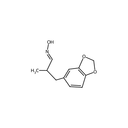 CC(C=NO)Cc1ccc2c(c1)OCO2